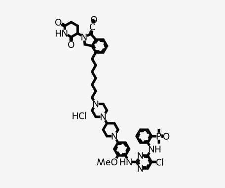 COc1cc(N2CCC(N3CCN(CCCCCCCc4cccc5c4CN(C4CCC(=O)NC4=O)C5=C=O)CC3)CC2)ccc1Nc1ncc(Cl)c(Nc2ccccc2P(C)(C)=O)n1.Cl